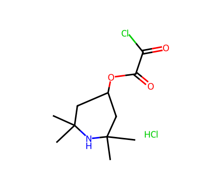 CC1(C)CC(OC(=O)C(=O)Cl)CC(C)(C)N1.Cl